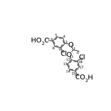 CC(Oc1ccc(C(=O)O)cc1Cl)Oc1ccc(C(=O)O)cc1Cl